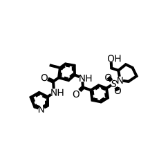 Cc1ccc(NC(=O)c2cccc(S(=O)(=O)N3CCCCC3CO)c2)cc1C(=O)Nc1cccnc1